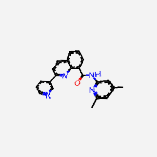 Cc1cc(C)nc(NC(=O)c2cccc3ccc(-c4cccnc4)nc23)c1